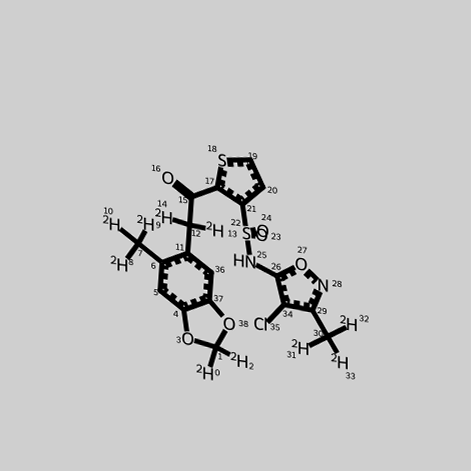 [2H]C1([2H])Oc2cc(C([2H])([2H])[2H])c(C([2H])([2H])C(=O)c3sccc3S(=O)(=O)Nc3onc(C([2H])([2H])[2H])c3Cl)cc2O1